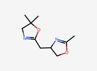 CC1=NC(CC2=NCC(C)(C)O2)CO1